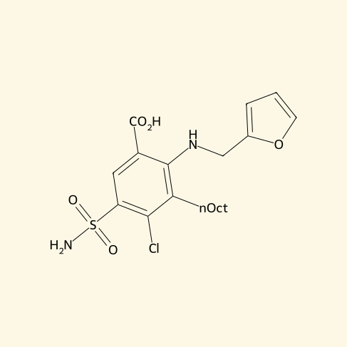 CCCCCCCCc1c(Cl)c(S(N)(=O)=O)cc(C(=O)O)c1NCc1ccco1